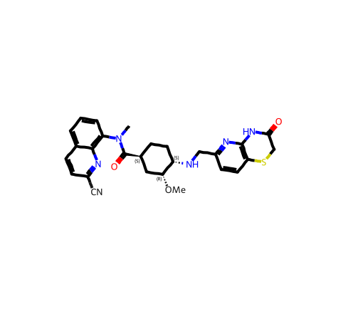 CO[C@@H]1C[C@@H](C(=O)N(C)c2cccc3ccc(C#N)nc23)CC[C@@H]1NCc1ccc2c(n1)NC(=O)CS2